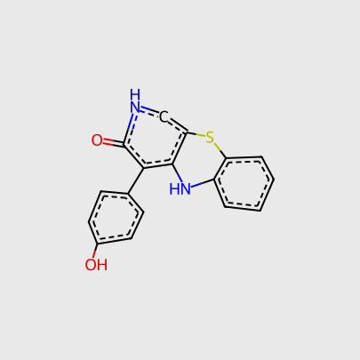 O=c1[nH]cc2c(c1-c1ccc(O)cc1)Nc1ccccc1S2